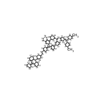 Cc1ccc(N(c2ccc(C)cc2)c2ccc(/C=C(\c3ccccc3)c3cccc(-c4cc(N(c5ccccc5)c5ccc(/C=C/c6ccc(Cc7ccccc7N(c7ccccc7)c7ccccc7)cc6)cc5)cc5c4CCCC5)c3)cc2)cc1